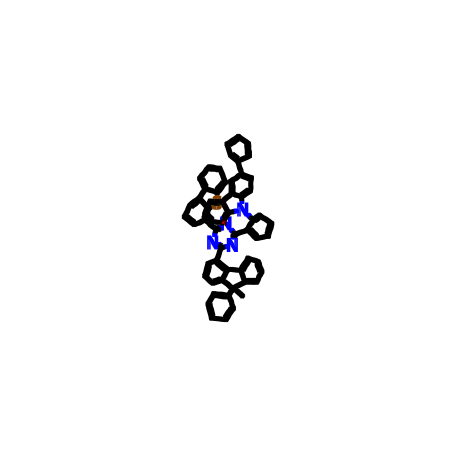 CC1(c2ccccc2)c2ccccc2-c2c(-c3nc(-c4ccccc4-n4c5ccccc5c5cc(-c6ccccc6)ccc54)nc(-c4cccc5c4sc4ccccc45)n3)cccc21